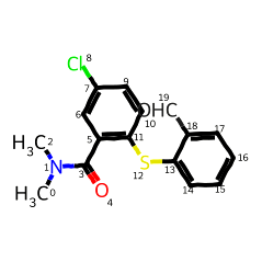 CN(C)C(=O)c1cc(Cl)ccc1Sc1ccccc1C=O